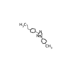 CCCc1ccc(-c2ncn(-c3ccc(C)cc3)n2)cc1